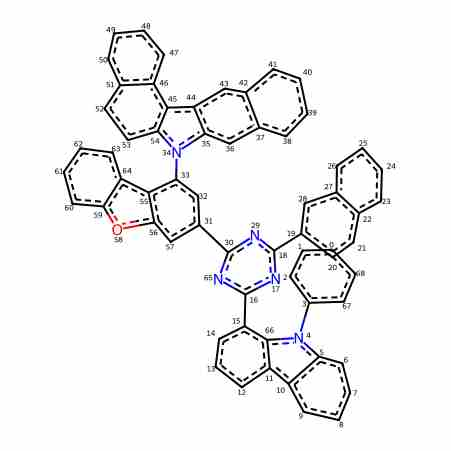 c1ccc(-n2c3ccccc3c3cccc(-c4nc(-c5ccc6ccccc6c5)nc(-c5cc(-n6c7cc8ccccc8cc7c7c8ccccc8ccc76)c6c(c5)oc5ccccc56)n4)c32)cc1